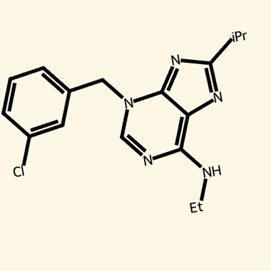 CCNc1ncn(Cc2cccc(Cl)c2)c2nc(C(C)C)nc1-2